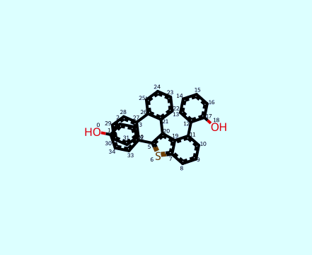 Oc1ccc(-c2sc3cccc(-c4ccccc4O)c3c2-c2ccc[c]c2-c2ccccc2)cc1